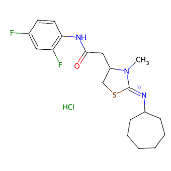 CN1/C(=N/C2CCCCCC2)SCC1CC(=O)Nc1ccc(F)cc1F.Cl